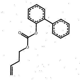 C=CCCOC(=O)Oc1ccccc1-c1ccccc1